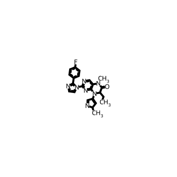 CCC1C(=O)N(C)c2cnc(-n3ccnc3-c3ccc(F)cc3)nc2N1C1=CC(C)N=C1